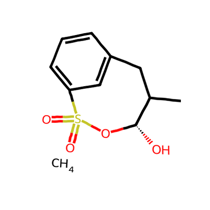 C.CC1Cc2cccc(c2)S(=O)(=O)O[C@H]1O